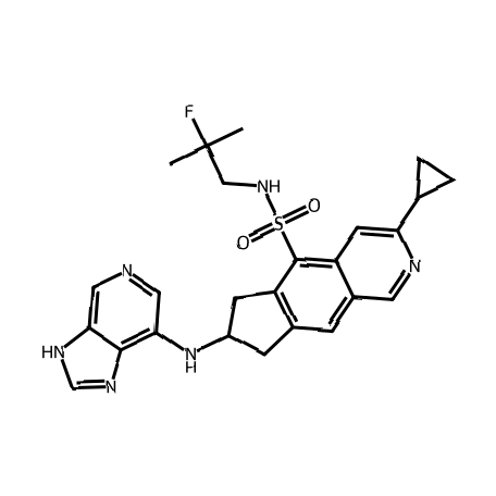 CC(C)(F)CNS(=O)(=O)c1c2c(cc3cnc(C4CC4)cc13)CC(Nc1cncc3[nH]cnc13)C2